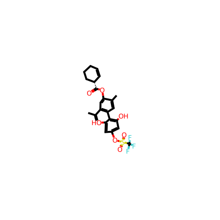 C=C(C)c1cc(OC(=O)[C@H]2C=CCCC2)c(C)cc1-c1c(O)cc(OS(=O)(=O)C(F)(F)F)cc1O